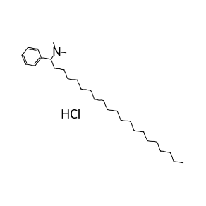 CCCCCCCCCCCCCCCCCCCCC(c1ccccc1)N(C)C.Cl